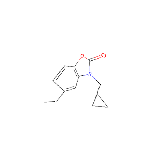 CCc1ccc2oc(=O)n(CC3CC3)c2c1